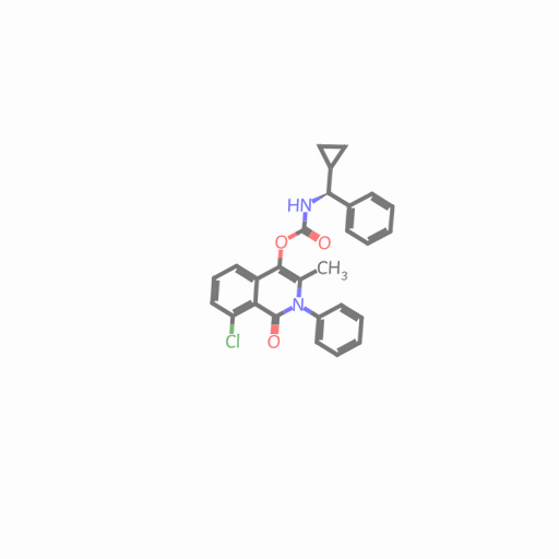 Cc1c(OC(=O)N[C@H](c2ccccc2)C2CC2)c2cccc(Cl)c2c(=O)n1-c1ccccc1